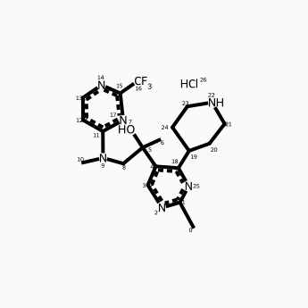 Cc1ncc(C(C)(O)CN(C)c2ccnc(C(F)(F)F)n2)c(C2CCNCC2)n1.Cl